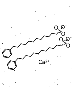 O=S(=O)([O-])CCCCCCCCCCCCc1ccccc1.O=S(=O)([O-])CCCCCCCCCCCCc1ccccc1.[Ca+2]